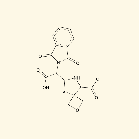 O=C(O)C(C1NC(C(=O)O)C2(COC2)S1)N1C(=O)c2ccccc2C1=O